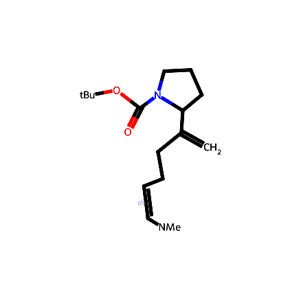 C=C(CC/C=C\NC)C1CCCN1C(=O)OC(C)(C)C